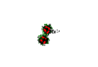 Fc1c(F)c(F)c([B-](c2c(F)c(F)c(F)c(F)c2F)(c2c(F)c(F)c(F)c(F)c2F)c2c(F)c(F)c(F)c(F)c2F)c(F)c1F.Fc1c(F)c(F)c([B-](c2c(F)c(F)c(F)c(F)c2F)(c2c(F)c(F)c(F)c(F)c2F)c2c(F)c(F)c(F)c(F)c2F)c(F)c1F.[Fe+2]